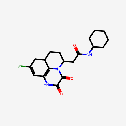 O=C(CC1CCC2CC(Br)=Cc3[nH]c(=O)c(=O)n1c32)NC1CCCCC1